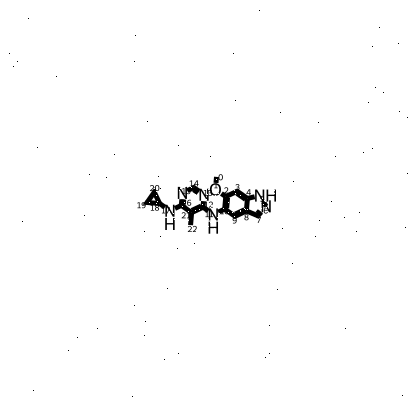 COc1cc2[nH]ncc2cc1Nc1ncnc(NC2CC2)c1C